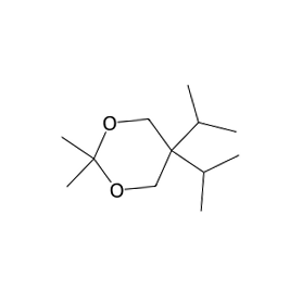 CC(C)C1(C(C)C)COC(C)(C)OC1